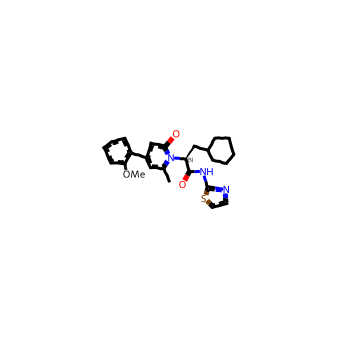 COc1ccccc1-c1cc(C)n([C@@H](CC2CCCCC2)C(=O)Nc2nccs2)c(=O)c1